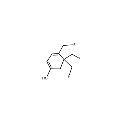 OC1=CC=C(CF)C(CF)(CF)C1